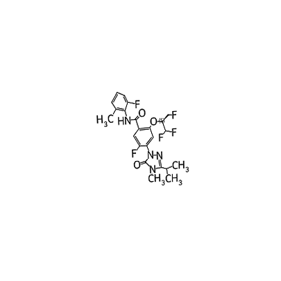 Cc1cccc(F)c1NC(=O)c1cc(F)c(-n2nc(C(C)C)n(C)c2=O)cc1O[C@@H](CF)C(F)F